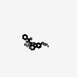 COc1ccc2c3c([nH]c2c1)C(C)(CNC(=O)C1CCCCC1)OCC3